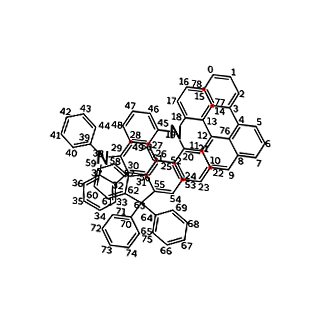 c1ccc(-c2cccc3cccc(-c4ccccc4N(c4ccccc4-c4ccc5c(c4)c4ccccc4n5-c4ccccc4)c4ccccc4-c4cccc5c4-c4ccccc4C5(c4ccccc4)c4ccccc4)c23)cc1